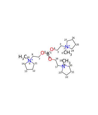 C[N+]1(CCOB(OCC[N+]2(C)CCCC2)OCC[N+]2(C)CCCC2)CCCC1